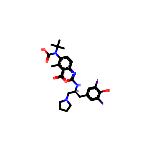 Cc1c(N(C(=O)O)C(C)(C)C)ccc2nc(N[C@@H](Cc3cc(I)c(O)c(I)c3)CN3CCCC3)oc(=O)c12